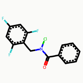 O=C(c1ccccc1)N(Cl)Cc1c(F)cc(F)cc1F